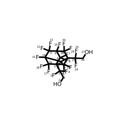 OCC(F)(F)C12C(F)(F)C3(F)C(F)(F)C(F)(C1(F)F)C(F)(F)C(C(F)(F)CO)(C3(F)F)C2(F)F